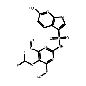 COc1nc(NS(=O)(=O)c2c[nH]c3nc(C)ccc23)nc(OC)c1OC(F)F